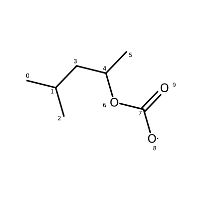 CC(C)CC(C)OC([O])=O